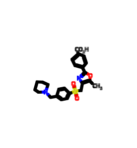 Cc1oc(-c2ccc(C(=O)O)cc2)nc1CS(=O)(=O)c1ccc(CN2CCCCC2)cc1